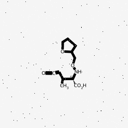 CC(C=C=O)[C@H](NOCC1CCCO1)C(=O)O